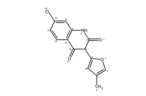 Cc1coc(C2C(=O)Nc3cc(Cl)ccc3C2=O)c1